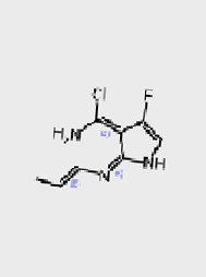 C/C=C/N=C1/NC=C(F)/C1=C(/N)Cl